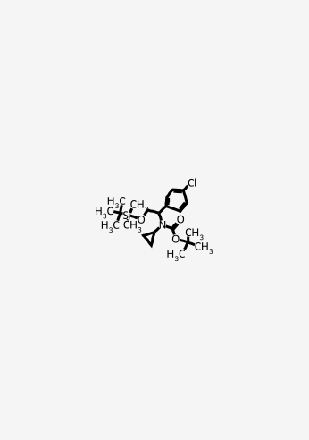 CC(C)(C)OC(=O)N(C1CC1)C(CO[Si](C)(C)C(C)(C)C)c1ccc(Cl)cc1